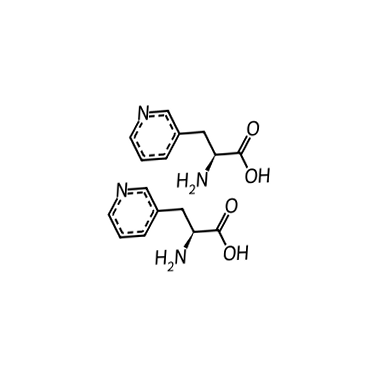 N[C@@H](Cc1cccnc1)C(=O)O.N[C@@H](Cc1cccnc1)C(=O)O